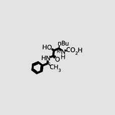 CCCC[C@@H](NC(=O)O)C(O)C(=O)N[C@H](C)c1ccccc1